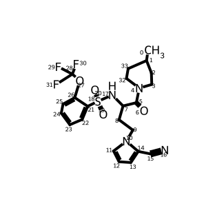 CC1CCN(C(=O)C(CCn2cccc2C#N)NS(=O)(=O)c2ccccc2OC(F)(F)F)CC1